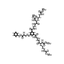 CC(C)(C)OC(=O)NCCCC[C@H](NC(=O)OC(C)(C)C)C(=O)NCCNC(=O)c1cc(OCCNC(=O)OCc2ccccc2)cc(C(=O)NCCNC(=O)[C@H](CCCCNC(=O)OC(C)(C)C)NC(=O)OC(C)(C)C)c1